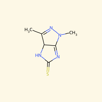 CC1=NN(C)C2=NC(=S)NC12